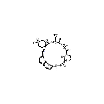 C[C@@H]1NC(=O)[C@H](C2CC2)OC(=O)C2(/C=C/c3ccc4ccc(nc4c3)[C@@H](C)NC(=O)[C@@H]3CCCN(N3)C1=O)CCS(=O)(=O)CC2